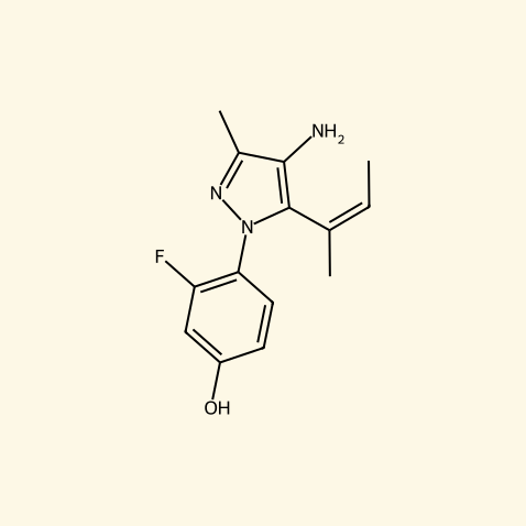 C/C=C(/C)c1c(N)c(C)nn1-c1ccc(O)cc1F